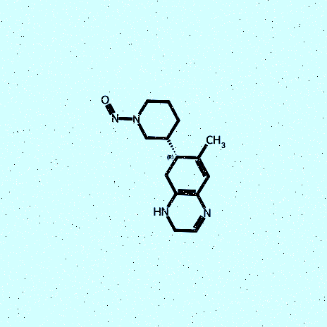 CC1=CC2=C(C[C@@H]1C1CCCN(N=O)C1)NCC=N2